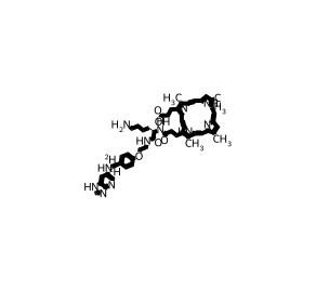 [2H]C([2H])(Nc1cnc2nc[nH]c2c1)c1ccc(OCCNC(=O)[C@H](CCCCN)NC(=O)CCc2c(C)c3cc4nc(cc5[nH]c(cc6nc(cc2[nH]3)C(CCC(=O)O)=C6C)cc5C)C=C4C)cc1